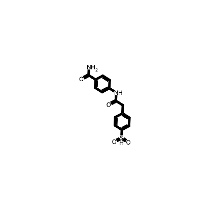 NC(=O)c1ccc(NC(=O)Cc2ccc([SH](=O)=O)cc2)cc1